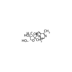 Cc1ncnn2c([C@]3(C)O[C@H](CO)[C@@H](O)[C@@]3(C)O)ccc12